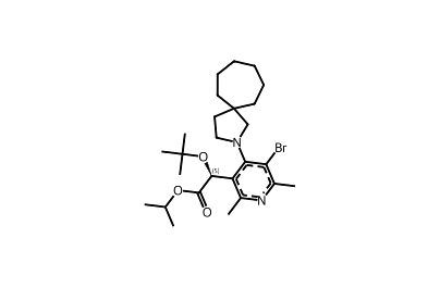 Cc1nc(C)c([C@H](OC(C)(C)C)C(=O)OC(C)C)c(N2CCC3(CCCCCC3)C2)c1Br